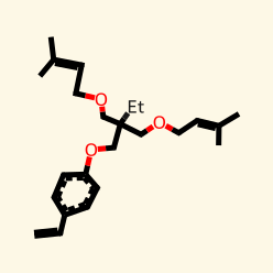 C=Cc1ccc(OCC(CC)(COCC=C(C)C)COCC=C(C)C)cc1